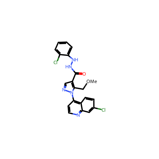 COCc1c(C(=O)NNc2ccccc2Cl)cnn1-c1ccnc2cc(Cl)ccc12